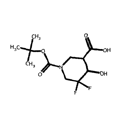 CC(C)(C)OC(=O)N1CC(C(=O)O)C(O)C(F)(F)C1